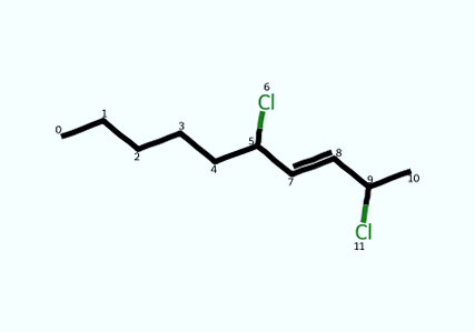 CCCCCC(Cl)C=CC(C)Cl